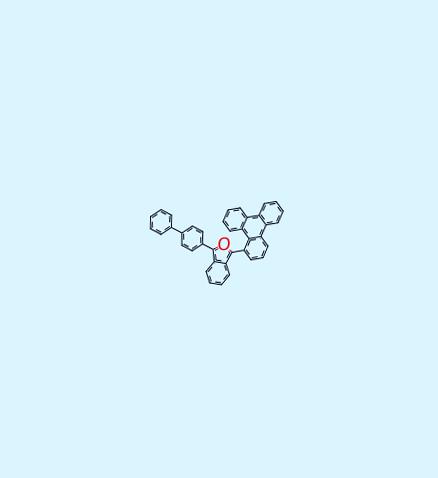 c1ccc(-c2ccc(-c3oc(-c4cccc5c6ccccc6c6ccccc6c45)c4ccccc34)cc2)cc1